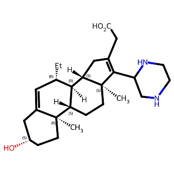 CC[C@H]1C=C2C[C@@H](O)CC[C@]2(C)[C@H]2CC[C@]3(C)C(C4CNCCN4)=C(CC(=O)O)C[C@H]3[C@H]12